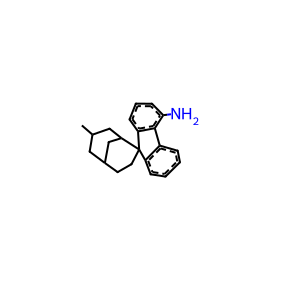 CC1CC2CCC3(c4ccccc4-c4c(N)cccc43)C(C1)C2